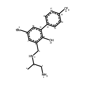 CC(CN)NCc1cc(C(C)(C)C)cc(-c2ccc(C(F)(F)F)nc2)c1O